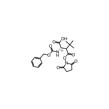 CC(C)(C)C(C(=O)ON1C(=O)CCC1=O)[C@H](NC(=O)OCc1ccccc1)C(=O)O